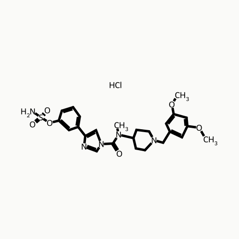 COc1cc(CN2CCC(N(C)C(=O)n3cnc(-c4cccc(OS(N)(=O)=O)c4)c3)CC2)cc(OC)c1.Cl